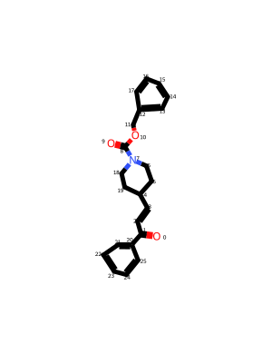 O=C(C=CC1CCN(C(=O)OCc2ccccc2)CC1)c1ccccc1